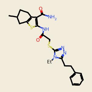 CCn1c(CCc2ccccc2)nnc1SCC(=O)Nc1sc2c(c1C(N)=O)CCC(C)C2